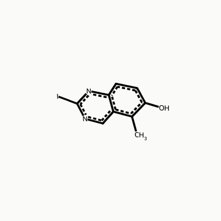 Cc1c(O)ccc2nc(I)ncc12